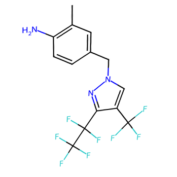 Cc1cc(Cn2cc(C(F)(F)F)c(C(F)(F)C(F)(F)F)n2)ccc1N